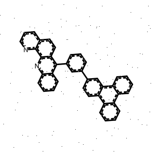 c1cc(-c2ccc3c4ccccc4c4ccccc4c3c2)cc(-c2c3ccccc3nc3c2ccc2cccnc23)c1